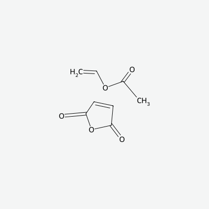 C=COC(C)=O.O=C1C=CC(=O)O1